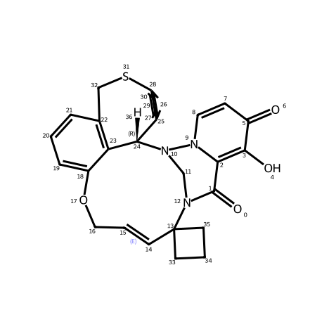 O=C1c2c(O)c(=O)ccn2N2CN1C1(/C=C/COc3cccc4c3[C@@H]2c2ccccc2SC4)CCC1